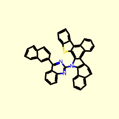 c1ccc2cc(-c3nc(-n4c5c6ccccc6ccc5c5c6ccccc6c6c7ccccc7sc6c54)nc4ccccc34)ccc2c1